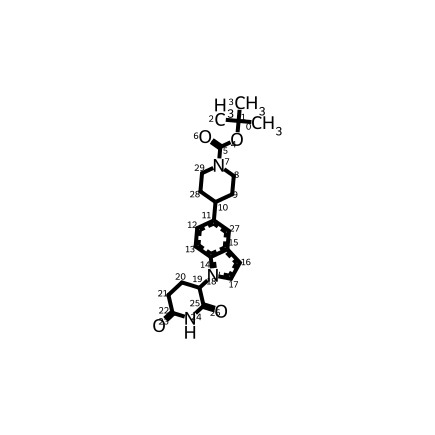 CC(C)(C)OC(=O)N1CCC(c2ccc3c(ccn3C3CCC(=O)NC3=O)c2)CC1